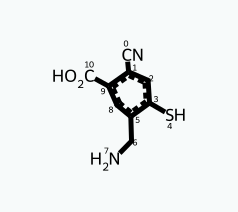 N#Cc1cc(S)c(CN)cc1C(=O)O